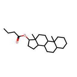 CCCC(=O)OC1CCC2C3CCC4CCCCC4(C)C3CCC12C